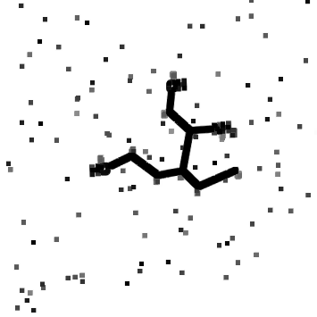 CCC(CCO)C(N)CO